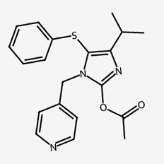 CC(=O)Oc1nc(C(C)C)c(Sc2ccccc2)n1Cc1ccncc1